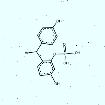 CC(=O)C(c1ccc(O)cc1)c1ccc(O)cc1OP(=O)(O)O